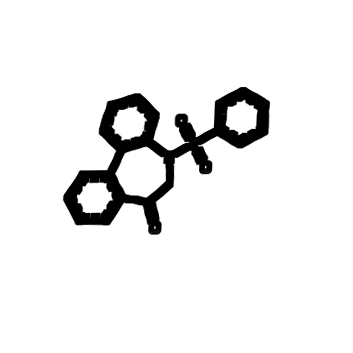 O=C1CN(S(=O)(=O)c2ccccc2)c2ccccc2-c2ccccc21